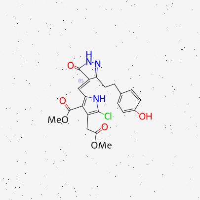 COC(=O)Cc1c(Cl)[nH]c(/C=C2/C(=O)NN=C2CCc2ccc(O)cc2)c1C(=O)OC